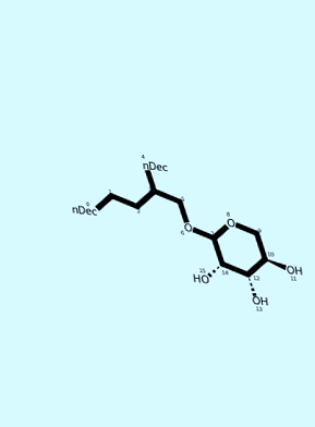 CCCCCCCCCCCCC(CCCCCCCCCC)COC1OC[C@@H](O)[C@H](O)[C@@H]1O